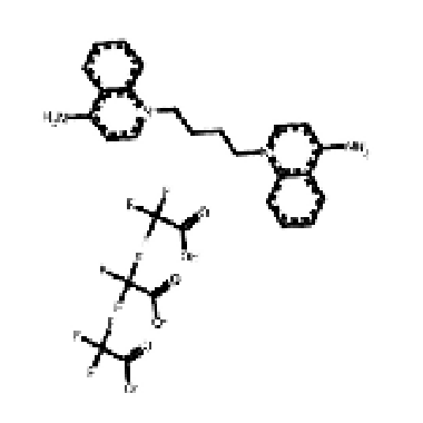 Nc1cc[n+](CCCC[n+]2ccc(N)c3ccccc32)c2ccccc12.O=C(O)C(F)(F)F.O=C([O-])C(F)(F)F.O=C([O-])C(F)(F)F